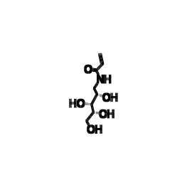 C=CC(=O)NC[C@H](O)[C@@H](O)[C@H](O)CO